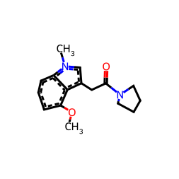 COc1cccc2c1c(CC(=O)N1CCCC1)cn2C